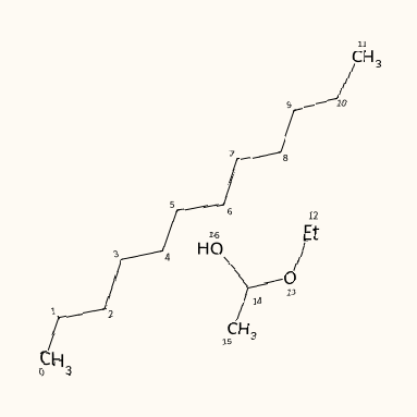 CCCCCCCCCCCC.CCOC(C)O